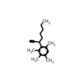 [C]#CC(CCCCC)c1c(C)cc(C)c(C)c1C